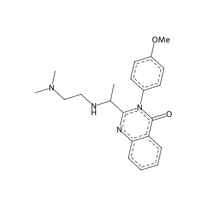 COc1ccc(-n2c(C(C)NCCN(C)C)nc3ccccc3c2=O)cc1